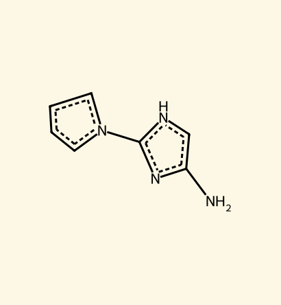 Nc1c[nH]c(-n2cccc2)n1